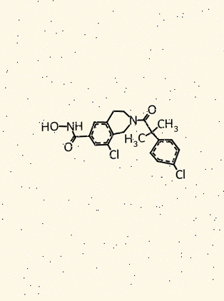 CC(C)(C(=O)N1CCc2cc(C(=O)NO)cc(Cl)c2C1)c1ccc(Cl)cc1